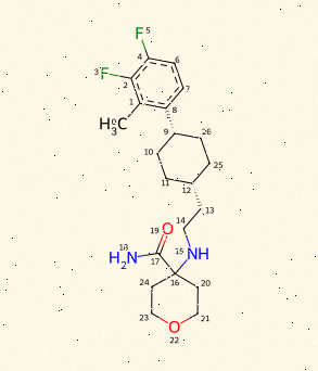 Cc1c(F)c(F)ccc1[C@H]1CC[C@@H](CCNC2(C(N)=O)CCOCC2)CC1